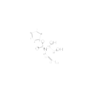 O=C(Oc1ccccc1)N(CC#CI)C(O)CO